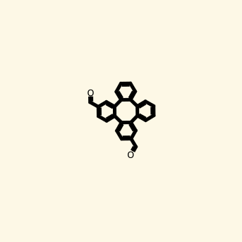 O=Cc1ccc2c(c1)-c1ccccc1-c1ccccc1-c1cc(C=O)ccc1-2